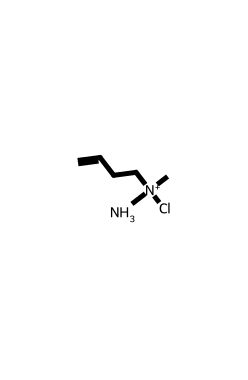 C=CCC[N+](C)(C)Cl.N